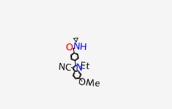 CCn1c(-c2ccc(C(=O)NC3CC3)cc2)c(C#N)c2ccc(OC)cc21